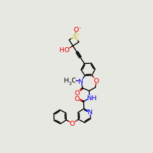 CN1C(=O)C(NC(=O)c2cc(Oc3ccccc3)ccn2)COc2ccc(C#CC3(O)C[S+]([O-])C3)cc21